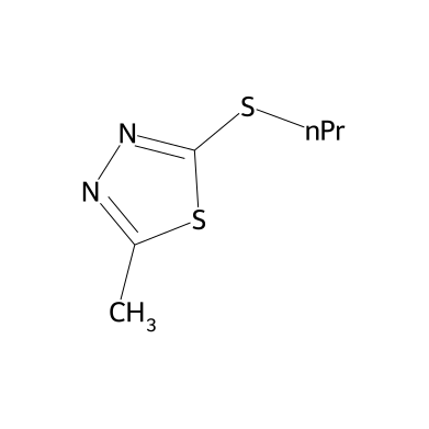 [CH2]CCSc1nnc(C)s1